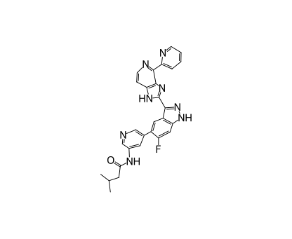 CC(C)CC(=O)Nc1cncc(-c2cc3c(-c4nc5c(-c6ccccn6)nccc5[nH]4)n[nH]c3cc2F)c1